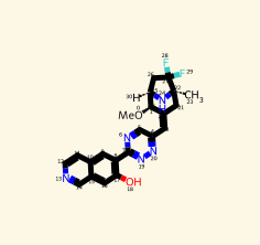 CO[C@@H]1/C(=C\c2cnc(-c3cc4ccncc4cc3O)nn2)C[C@@]2(C)N[C@@H]1CC2(F)F